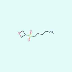 CCCCCS(=O)(=O)C1COC1